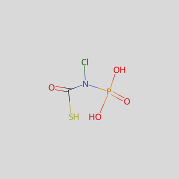 O=C(S)N(Cl)P(=O)(O)O